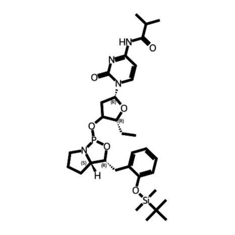 CC[C@H]1O[C@@H](n2ccc(NC(=O)C(C)C)nc2=O)CC1OP1O[C@H](Cc2ccccc2O[Si](C)(C)C(C)(C)C)[C@@H]2CCCN21